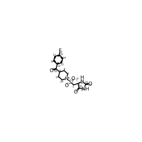 C[C@]1(CS(=O)(=O)N2CCC(C(=O)c3ccc(F)cc3)CC2)NC(=O)NC1=O